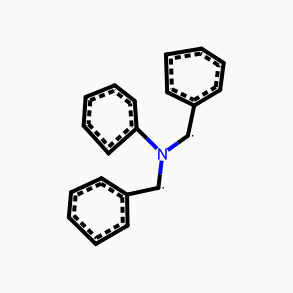 [CH](c1ccccc1)N([CH]c1ccccc1)c1ccccc1